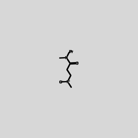 CC(C)N(C)C(=O)CC[S+](C)[O-]